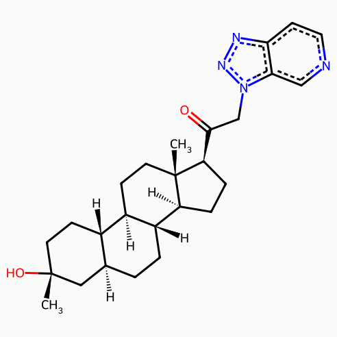 C[C@@]1(O)CC[C@H]2[C@@H](CC[C@@H]3[C@@H]2CC[C@]2(C)[C@@H](C(=O)Cn4nnc5ccncc54)CC[C@@H]32)C1